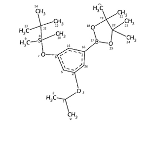 CC(C)Oc1cc(O[Si](C)(C)C(C)(C)C)cc(B2OC(C)(C)C(C)(C)O2)c1